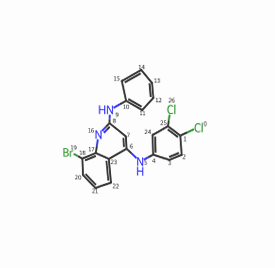 Clc1ccc(Nc2cc(Nc3ccccc3)nc3c(Br)cccc23)cc1Cl